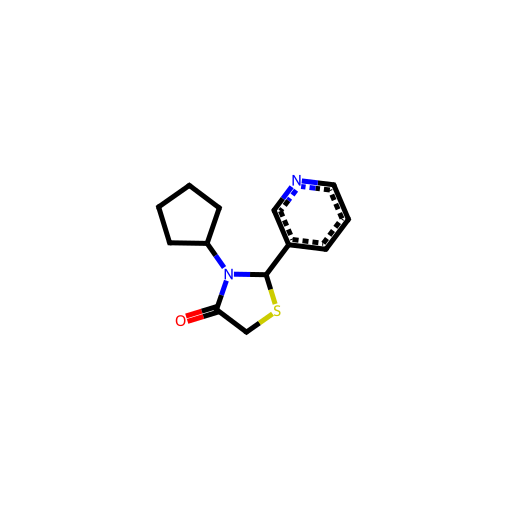 O=C1CSC(c2cccnc2)N1C1CCCC1